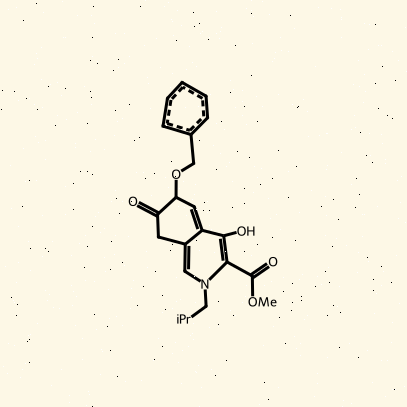 COC(=O)C1=C(O)C2=CC(OCc3ccccc3)C(=O)CC2=CN1CC(C)C